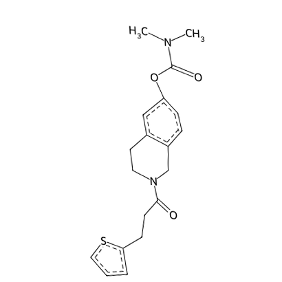 CN(C)C(=O)Oc1ccc2c(c1)CCN(C(=O)CCc1cccs1)C2